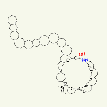 C[SiH2]C1C23CCCC4(CCC5CC6CC7CC8CC9CCC%10CC%11CCC%12CCCC%13CCC%14CC%15CCCCCC%15CC%14CC%13CC%12CC%11CC%10CCC9CCCC8CCC7CCCC6C(CC(O)NC6CCC7CCC8CCC9CCCC%10(CCCC1(C%10)C2)CC9CC8CC7CC6)CC5C4)CC3